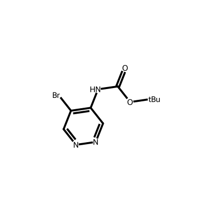 CC(C)(C)OC(=O)Nc1cnncc1Br